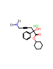 CCN(CC)CC#CCC(O)(C(=O)OC1CCCCC1)c1ccccc1.Cl